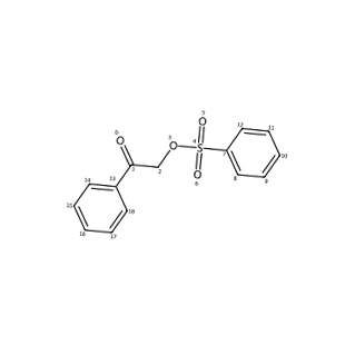 O=C(COS(=O)(=O)c1ccccc1)c1ccccc1